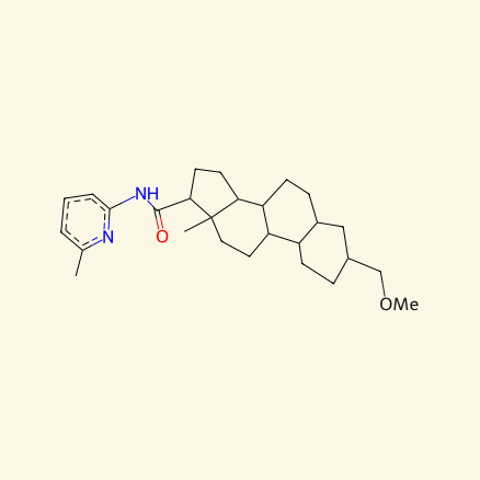 COCC1CCC2C(CCC3C2CCC2(C)C(C(=O)Nc4cccc(C)n4)CCC32)C1